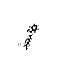 CC(F)C(F)(F)CC(F)CCSC(=O)c1ccccc1